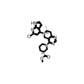 COC(=O)[C@@H]1CCCN(c2ncnc3c2CN(c2cc(Cl)nc4[nH]ccc24)[C@H](C)C3)C1